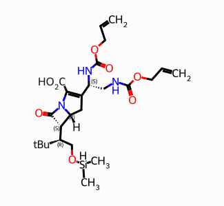 C=CCOC(=O)NC[C@@H](NC(=O)OCC=C)C1=C(C(=O)O)N2C(=O)[C@@H]([C@@H](CO[SiH](C)C)C(C)(C)C)[C@H]2C1